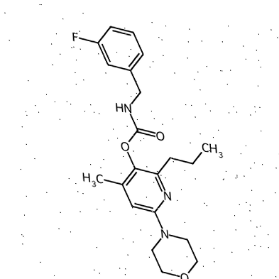 CCCc1nc(N2CCOCC2)cc(C)c1OC(=O)NCc1cccc(F)c1